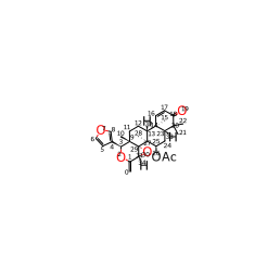 C=C1O[C@@H](c2ccoc2)[C@]2(C)CC[C@@H]3[C@@]4(C)C=CC(=O)C(C)(C)[C@@H]4C[C@@H](OC(C)=O)[C@@]3(C)[C@]23O[C@H]13